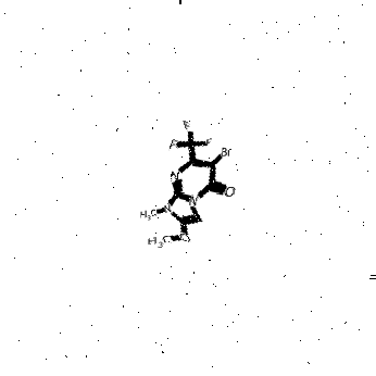 COc1cn2c(=O)c(Br)c(C(F)(F)F)nc2n1C